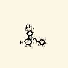 COc1ccc2c(c1)c1c(n2CCc2ccccc2)CCCNC1